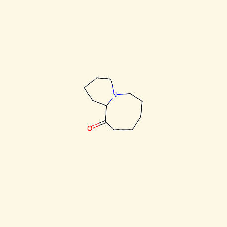 O=C1CCCCCN2CCCCC12